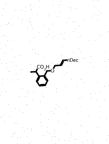 CCCCCCCCCC/C=C/COCc1ccccc1C(C)C(=O)O